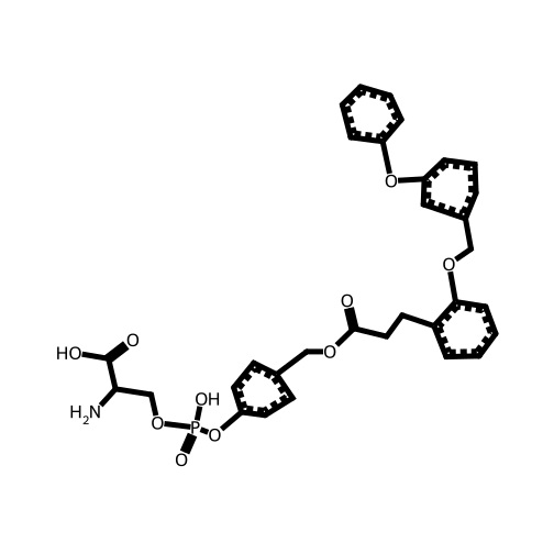 NC(COP(=O)(O)Oc1ccc(COC(=O)CCc2ccccc2OCc2cccc(Oc3ccccc3)c2)cc1)C(=O)O